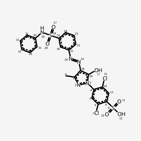 Cc1nn(-c2cc(Cl)c(S(=O)(=O)O)cc2Cl)c(O)c1/N=N/c1cccc(S(=O)(=O)Nc2ccccc2)c1